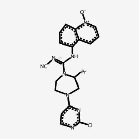 CC(C)C1CN(c2ccnc(Cl)n2)CCN1/C(=N\C#N)Nc1cccc2c1ccc[n+]2[O-]